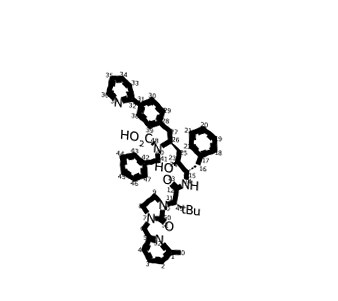 Cc1cccc(CN2CCN([C@H](C(=O)N[C@@H](Cc3ccccc3)[C@@H](O)C[C@H](Cc3ccc(-c4ccccn4)cc3)N(Cc3ccccc3)C(=O)O)C(C)(C)C)C2=O)n1